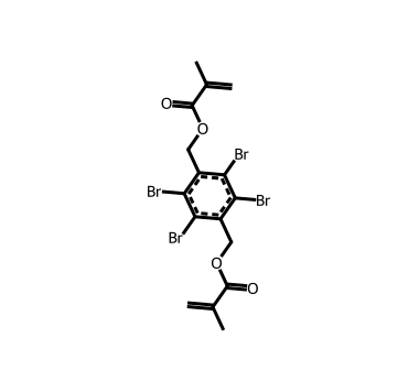 C=C(C)C(=O)OCc1c(Br)c(Br)c(COC(=O)C(=C)C)c(Br)c1Br